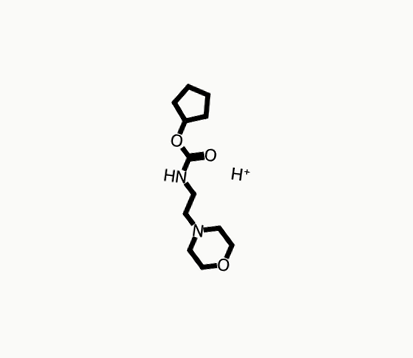 O=C(NCCN1CCOCC1)OC1CCCC1.[H+]